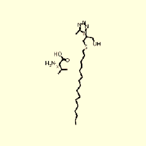 CC(C)[C@H](N)C(=O)O.CCCCCCCCCCCCCCCCSCC(CO)n1nnnc1C